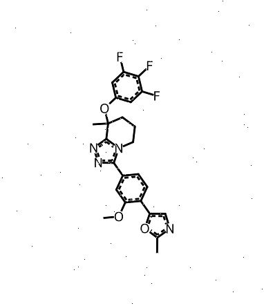 COc1cc(-c2nnc3n2CCCC3(C)Oc2cc(F)c(F)c(F)c2)ccc1-c1cnc(C)o1